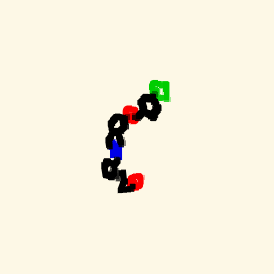 Clc1ccc(COc2ccc3c(c2)CN(CC2C=CC=C[C@@H]2CC2CCO2)CC3)cc1